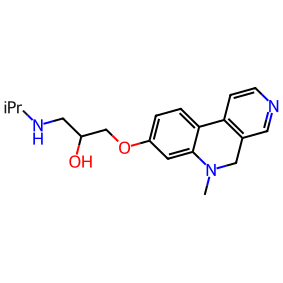 CC(C)NCC(O)COc1ccc2c(c1)N(C)Cc1cnccc1-2